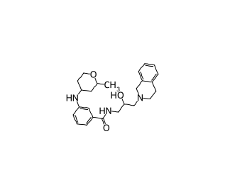 CC1CC(Nc2cccc(C(=O)NCC(O)CN3CCc4ccccc4C3)c2)CCO1